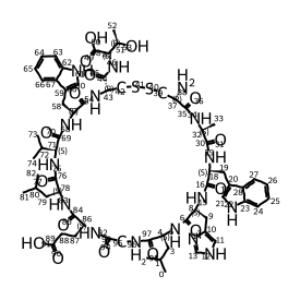 CC(C)C[C@@H]1NC(=O)[C@H](Cc2c[nH]cn2)NC(=O)[C@H](Cc2c[nH]c3ccccc23)NC(=O)[C@H](C)NC(=O)[C@@H](N)CSSC[C@@H](C(=O)N[C@H](C(=O)O)[C@@H](C)O)NC(=O)[C@H](Cc2c[nH]c3ccccc23)NC(=O)[C@H](C(C)C)NC(=O)[C@H](CC(C)C)NC(=O)[C@H](CCC(=O)O)NC(=O)CNC1=O